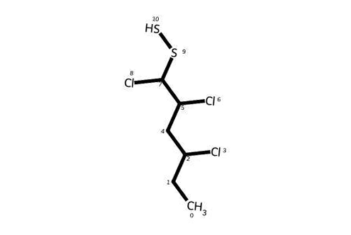 CCC(Cl)CC(Cl)C(Cl)SS